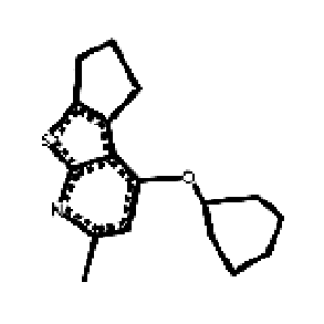 Cc1cc(OC2CCCCC2)c2c3c(sc2n1)CCC3